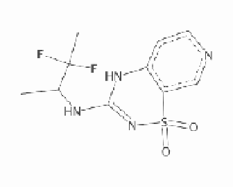 CC(NC1=NS(=O)(=O)c2cnccc2N1)C(C)(F)F